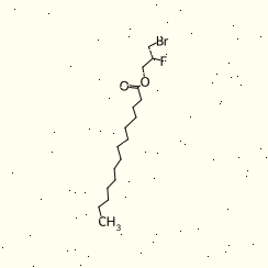 CCCCCCCCCCCCCC(=O)OCC(F)CBr